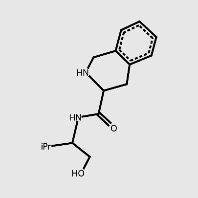 CC(C)C(CO)NC(=O)C1Cc2ccccc2CN1